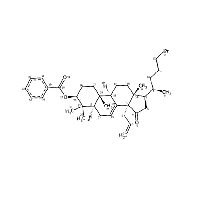 C=CC[C@@]12C(=O)C[C@H]([C@H](C)CCCC(C)C)[C@@]1(C)CC[C@H]1C2=CC[C@H]2C(C)(C)[C@@H](OC(=O)c3ccccc3)CC[C@]12C